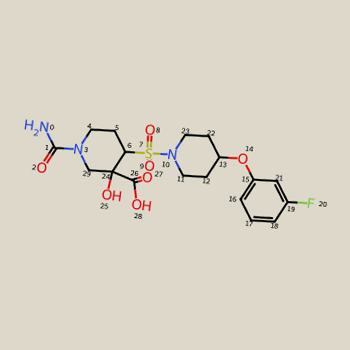 NC(=O)N1CCC(S(=O)(=O)N2CCC(Oc3cccc(F)c3)CC2)C(O)(C(=O)O)C1